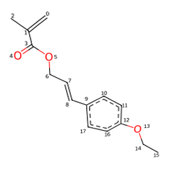 C=C(C)C(=O)OCC=Cc1ccc(OCC)cc1